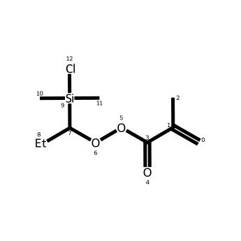 C=C(C)C(=O)OOC(CC)[Si](C)(C)Cl